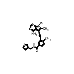 Cc1ccc(C(=O)NCc2ccsc2)cc1C#Cc1c(C)n(C(C)C)c2ncnc(N)c12